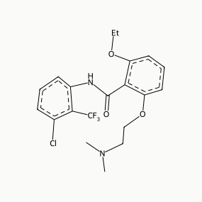 CCOc1cccc(OCCN(C)C)c1C(=O)Nc1cccc(Cl)c1C(F)(F)F